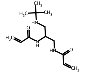 C=CC(=O)NCC(CNC(C)(C)C)NC(=O)C=C